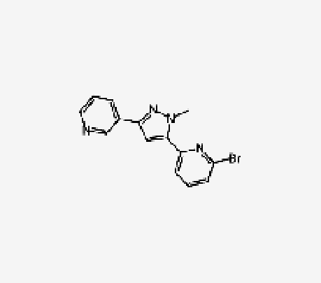 Cn1nc(-c2cccnc2)cc1-c1cccc(Br)n1